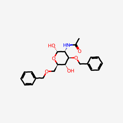 CC(=O)N[C@@H]1[C@@H](OCc2ccccc2)[C@H](O)[C@@H](COCc2ccccc2)O[C@@H]1O